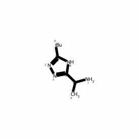 CCC(C)c1nnc(C(C)N)[nH]1